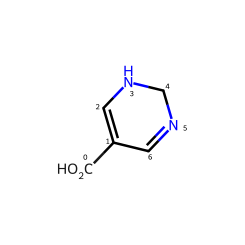 O=C(O)C1=CNCN=C1